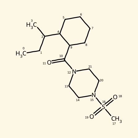 CCC(C)C1CCCCC1C(=O)N1CCN(S(C)(=O)=O)CC1